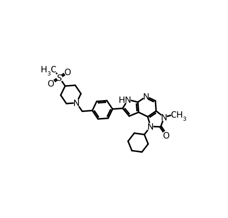 Cn1c(=O)n(C2CCCCC2)c2c3cc(-c4ccc(CN5CCC(S(C)(=O)=O)CC5)cc4)[nH]c3ncc21